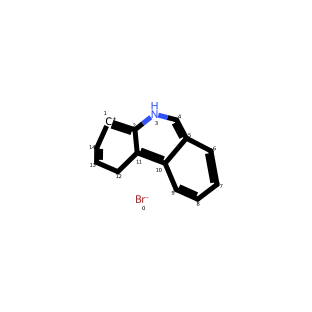 [Br-].[C+]1=C2NC=c3ccccc3=C2CC=C1